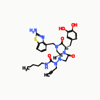 C#CCN(C(=O)NCCCC)N1CC(=O)N2[C@@H](Cc3ccc(O)c(O)c3)C(=O)N(Cc3cccc4sc(N)nc34)C[C@@H]21